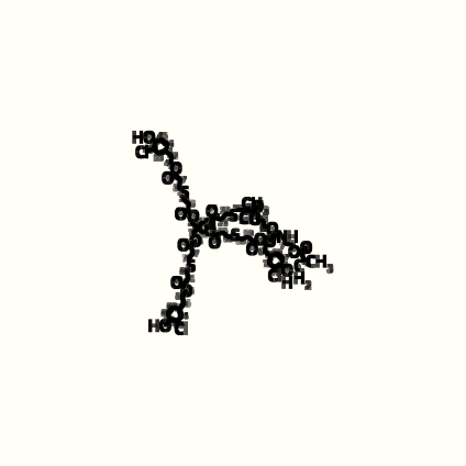 C=C(C)C(=O)OCCNC(=O)OCCOC(=O)C(C)(C)CSCCC(=O)OCC(COC(=O)CCSCCC(=O)OCCc1ccc(O)c(Cl)c1)(COC(=O)CCSCCC(=O)OCCc1ccc(O)c(Cl)c1)COC(=O)CCSCCC(=O)OCCc1ccc(O)c(Cl)c1